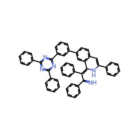 N=C(/C(=C1\NC(c2ccccc2)=Cc2ccc(-c3cccc(-c4nc(-c5ccccc5)nc(-c5ccccc5)n4)c3)cc21)c1ccccc1)c1ccccc1